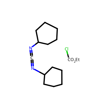 C(=NC1CCCCC1)=NC1CCCCC1.CCOC(=O)Cl